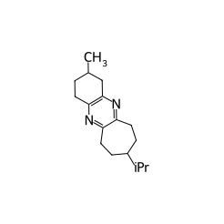 CC1CCc2nc3c(nc2C1)CCC(C(C)C)CC3